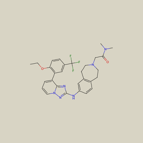 CCOc1ccc(C(F)(F)F)cc1-c1cccn2nc(Nc3ccc4c(c3)CCN(CC(=O)N(C)C)CC4)nc12